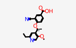 CCc1cc([C@H](C)Oc2ccc(C(=O)O)cc2C#N)c(OC)cn1